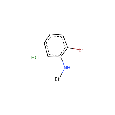 CCNc1ccccc1Br.Cl